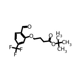 CC(C)(C)OC(=O)CCCOc1cc(C(F)(F)F)ccc1C=O